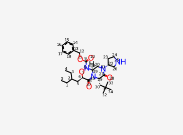 CCC(CC)C[C@H]1ON(C(=O)OCc2ccccc2)[C@H]2CN([C@@H]3CCNC3)C(=O)[C@H](CC(C)(C)C)N2C1=O